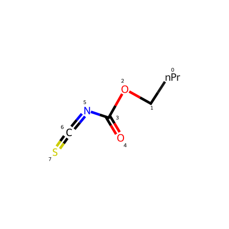 CCCCOC(=O)N=C=S